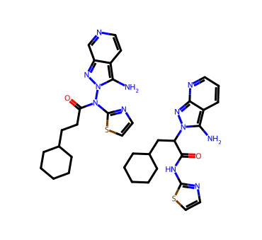 Nc1c2cccnc2nn1C(CC1CCCCC1)C(=O)Nc1nccs1.Nc1c2ccncc2nn1N(C(=O)CCC1CCCCC1)c1nccs1